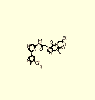 CCC(=O)Cn1c(=O)c2c(ncn2CC(=O)Nc2cncc(-c3cnc(C)c(C(F)(F)F)c3)n2)n(C)c1=O